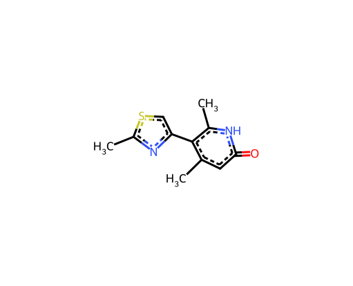 Cc1nc(-c2c(C)cc(=O)[nH]c2C)cs1